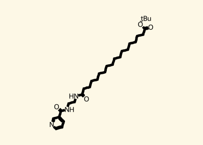 CC(C)(C)OC(=O)CCCCCCCCCCCCCCCCC(=O)NCCNC(=O)c1cccnc1